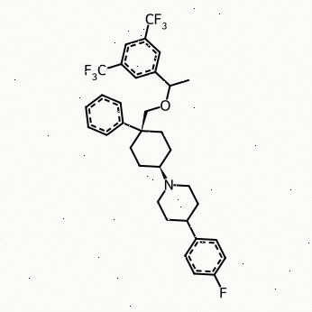 CC(OC[C@]1(c2ccccc2)CC[C@H](N2CCC(c3ccc(F)cc3)CC2)CC1)c1cc(C(F)(F)F)cc(C(F)(F)F)c1